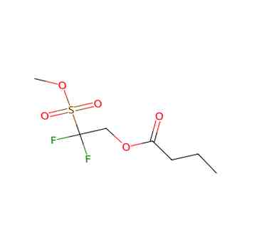 CCCC(=O)OCC(F)(F)S(=O)(=O)OC